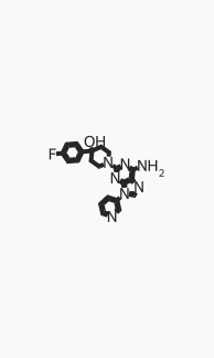 Nc1nc(N2CCC(O)(c3ccc(F)cc3)CC2)nc2c1ncn2-c1cccnc1